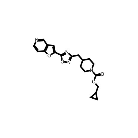 O=C(OCC1CC1)N1CCC(Cc2noc(-c3cc4cnccc4o3)n2)CC1